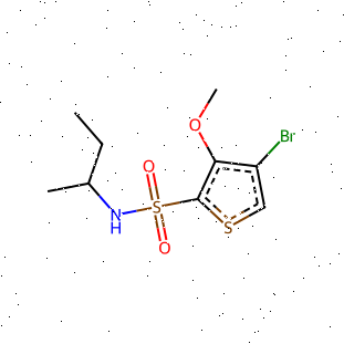 CCC(C)NS(=O)(=O)c1scc(Br)c1OC